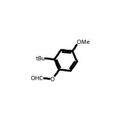 COc1ccc(OC=O)c(C(C)(C)C)c1